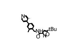 Cc1cc(-c2[c]cncc2)ccc1CNC(=O)c1cc(C(C)(C)C)on1